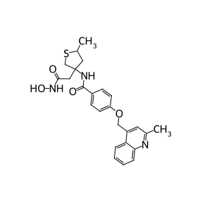 Cc1cc(COc2ccc(C(=O)NC3(CC(=O)NO)CSC(C)C3)cc2)c2ccccc2n1